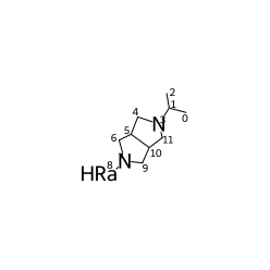 CC(C)N1CC2C[N]([RaH])CC2C1